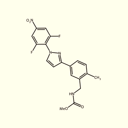 COC(=O)NCc1cc(-c2ccn(-c3c(F)cc([N+](=O)[O-])cc3F)n2)ccc1C